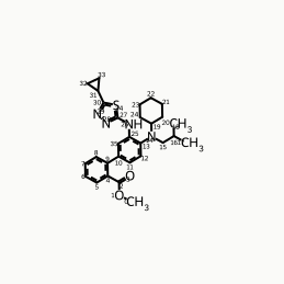 COC(=O)c1ccccc1-c1ccc(N(CC(C)C)C2CCCCC2)c(Nc2nnc(C3CC3)s2)c1